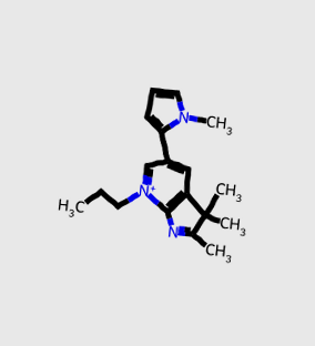 CCC[n+]1cc(-c2cccn2C)cc2c1N=C(C)C2(C)C